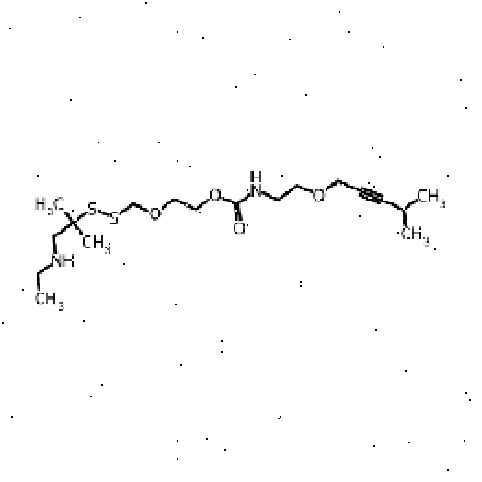 CCNCC(C)(C)SSCOCCOC(=O)NCCOCC#CC(C)C